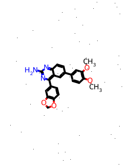 COc1ccc(-c2ccc3nc(N)nc(-c4ccc5c(c4)OCO5)c3c2)cc1OC